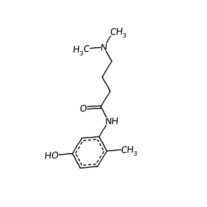 Cc1ccc(O)cc1NC(=O)CCCN(C)C